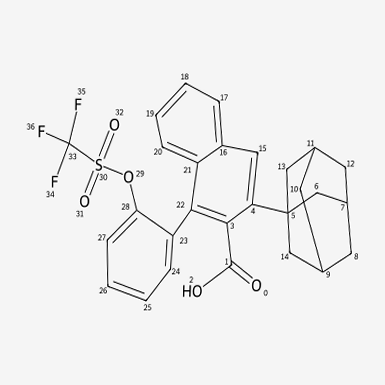 O=C(O)c1c(C23CC4CC(CC(C4)C2)C3)cc2ccccc2c1-c1ccccc1OS(=O)(=O)C(F)(F)F